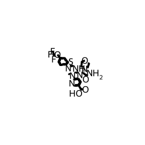 CN1c2ncc(C(=O)O)cc2N(C(C(N)=O)N2CCOCC2)C1Nc1nc2ccc(OC(F)(F)F)cc2s1